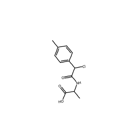 Cc1ccc(C(Cl)C(=O)NC(C)C(=O)O)cc1